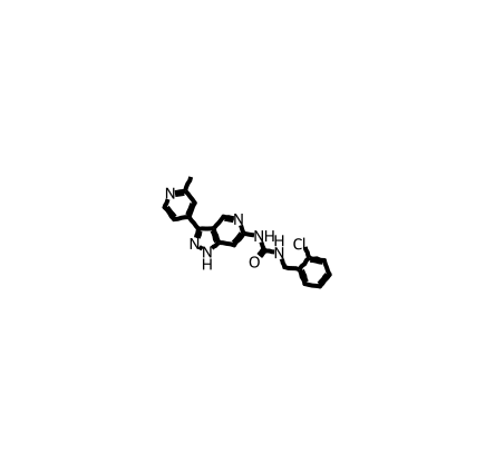 Cc1cc(-c2n[nH]c3cc(NC(=O)NCc4ccccc4Cl)ncc23)ccn1